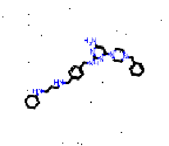 Nc1cc(N2CCN(Cc3ccccc3)CC2)nc(NCc2ccc(CNCCCNC3CCCCC3)cc2)n1